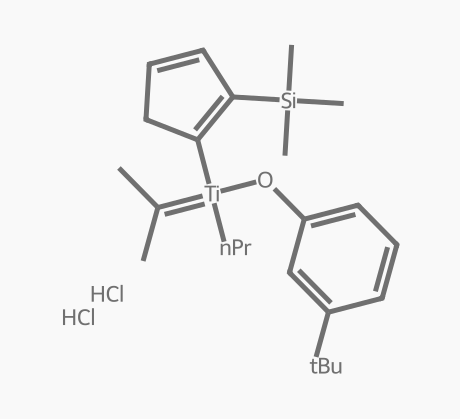 CC[CH2][Ti]([O]c1cccc(C(C)(C)C)c1)([C]1=C([Si](C)(C)C)C=CC1)=[C](C)C.Cl.Cl